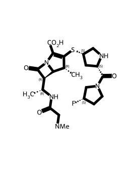 CNCC(=O)N[C@H](C)[C@H]1C(=O)N2C(C(=O)O)=C(S[C@@H]3CN[C@H](C(=O)N4CC[C@H](F)C4)C3)[C@H](C)C12